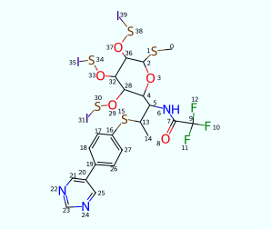 CSC1OC(C(NC(=O)C(F)(F)F)C(C)Sc2ccc(-c3cncnc3)cc2)C(OSI)C(OSI)C1OSI